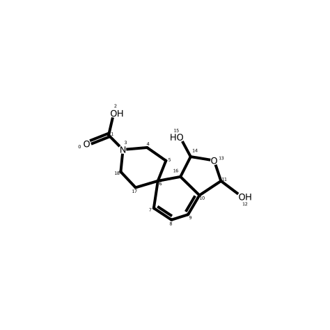 O=C(O)N1CCC2(C=CC=C3C(O)OC(O)C32)CC1